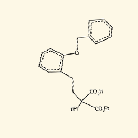 CCCC(CCc1ccccc1OCc1ccccc1)(C(=O)O)C(=O)OCC